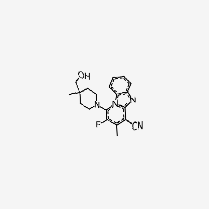 Cc1c(F)c(N2CCC(C)(CO)CC2)n2c(nc3ccccc32)c1C#N